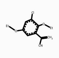 C=C(C#N)c1cc(OCC)cc(Cl)c1OCC